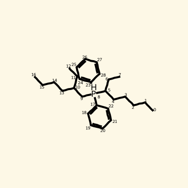 CCCCCC(CC)[PH](CC(CC)CCCC)(c1ccccc1)c1ccccc1